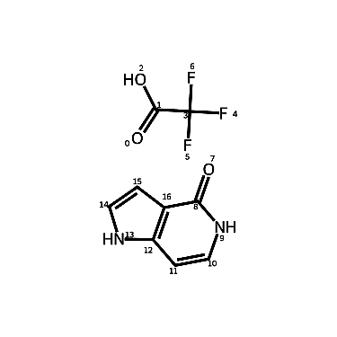 O=C(O)C(F)(F)F.O=c1[nH]ccc2[nH]ccc12